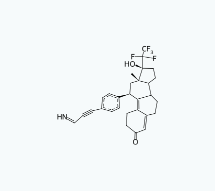 C[C@]12C[C@H](c3ccc(C#CC=N)cc3)C3=C4CCC(=O)C=C4CCC3C1CC[C@@]2(O)C(F)(F)C(F)(F)F